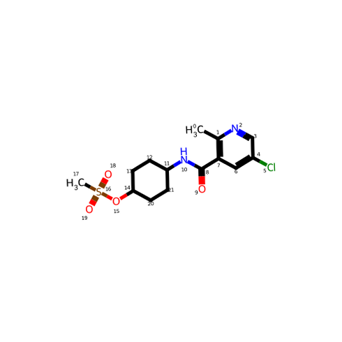 Cc1ncc(Cl)cc1C(=O)NC1CCC(OS(C)(=O)=O)CC1